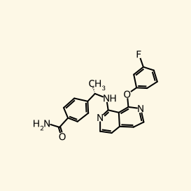 C[C@H](Nc1nccc2ccnc(Oc3cccc(F)c3)c12)c1ccc(C(N)=O)cc1